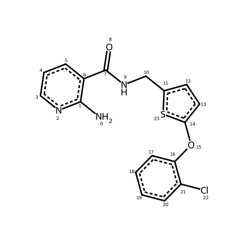 Nc1ncccc1C(=O)NCc1ccc(Oc2ccccc2Cl)s1